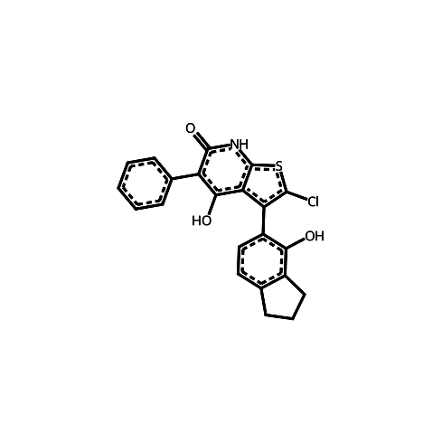 O=c1[nH]c2sc(Cl)c(-c3ccc4c(c3O)CCC4)c2c(O)c1-c1ccccc1